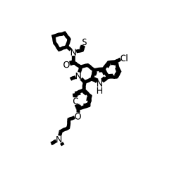 CN(C)CCCOc1ccc(C2c3[nH]c4ccc(Cl)cc4c3CC(C(=O)N(C=S)C3CCCCC3)N2C)cc1